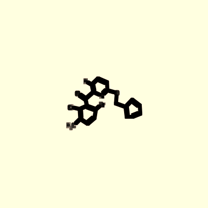 O=C(c1nc(OCc2ccccc2)ccc1F)c1c(Br)ccc(C(F)(F)F)c1Cl